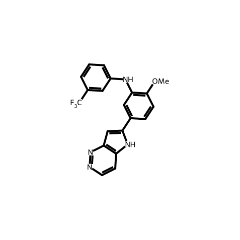 COc1ccc(-c2cc3nnccc3[nH]2)cc1Nc1cccc(C(F)(F)F)c1